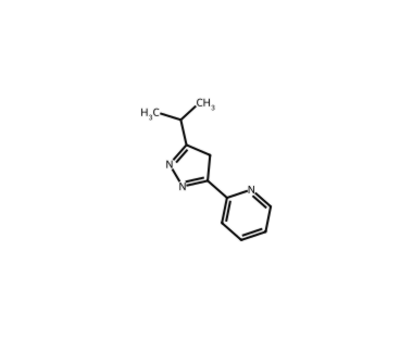 CC(C)C1=NN=C(c2ccccn2)C1